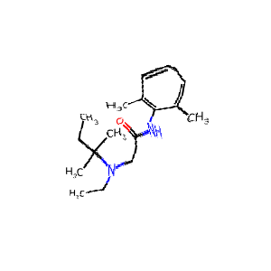 CCN(CC(=O)Nc1c(C)cccc1C)C(C)(C)CC